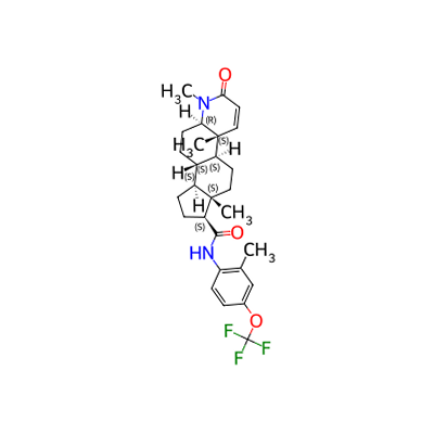 Cc1cc(OC(F)(F)F)ccc1NC(=O)[C@H]1CC[C@H]2[C@@H]3CC[C@H]4N(C)C(=O)C=C[C@]4(C)[C@H]3CC[C@]12C